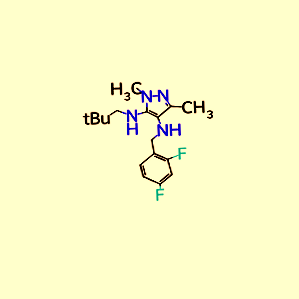 Cc1nn(C)c(NCC(C)(C)C)c1NCc1ccc(F)cc1F